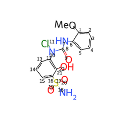 COc1ccccc1NC(=O)N(Cl)c1cccc(S(N)(=O)=O)c1O